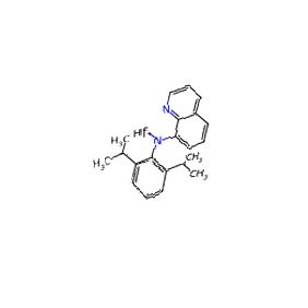 CC(C)c1cccc(C(C)C)c1[N]([Hf])c1cccc2cccnc12